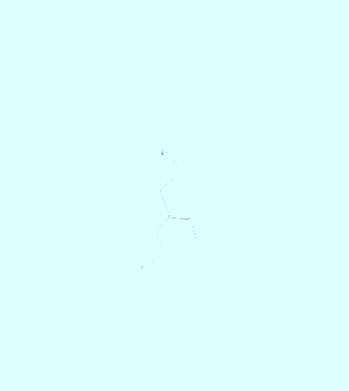 CC(C)OCC(COC(C)(C)C)NC(C)(C)C